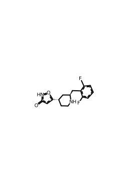 O=c1cc([C@H]2CCN[C@H](Cc3c(F)cccc3F)C2)o[nH]1